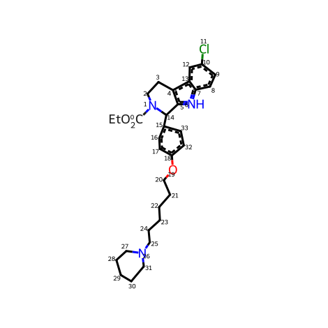 CCOC(=O)N1CCc2c([nH]c3ccc(Cl)cc23)C1c1ccc(OCCCCCCN2CCCCC2)cc1